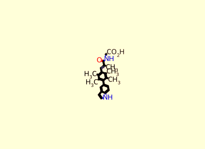 C/C(=C\c1c(C)c(C)c(-c2ccc3[nH]ccc3c2)c(C)c1C)C(=O)NCC(=O)O